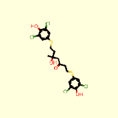 CC(O)(CCSc1cc(Cl)c(O)c(Cl)c1)CC(=O)CCSc1cc(Cl)c(O)c(Cl)c1